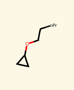 CCCC[CH]OC1CC1